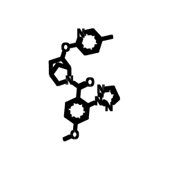 COc1ccc(C(=O)N2CC3CC(Oc4ccc(C)cn4)C2C3)c(-n2nccn2)c1